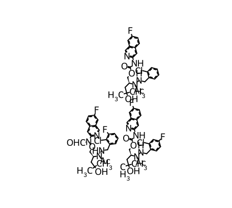 CC(=O)N(NCc1ccc(F)cc1Cl)[C@H](COC(=O)Nc1cc2ccc(F)cc2cn1)CC(C)(C)O.CC(=O)N(NCc1cccc(F)c1Cl)[C@H](CON(C=O)c1cc2ccc(F)cc2cn1)CC(C)(C)O.CC(=O)N(NCc1ccccc1Cl)[C@H](COC(=O)Nc1cc2ccc(F)cc2cn1)CC(C)(C)O